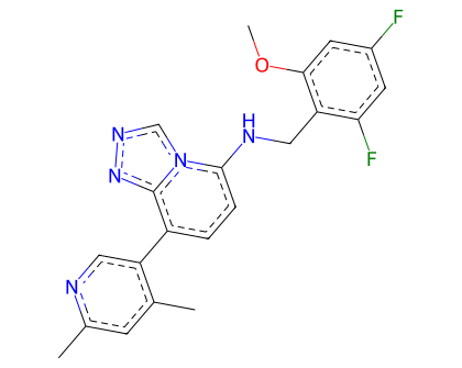 COc1cc(F)cc(F)c1CNc1ccc(-c2cnc(C)cc2C)c2nncn12